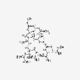 C=C(C)CCSP(CC(C)C)CC(C)CSP(CC(C)CSP(CCC(CC)CCCC)CCC(CC)CCCC)CC(C)CSP(CCC(CC)CCCC)CCC(CC)CCCC